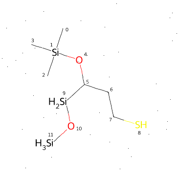 C[Si](C)(C)OC(CCS)[SiH2]O[SiH3]